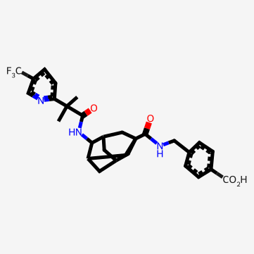 CC(C)(C(=O)NC1C2CC3CC1CC(C(=O)NCc1ccc(C(=O)O)cc1)(C3)C2)c1ccc(C(F)(F)F)cn1